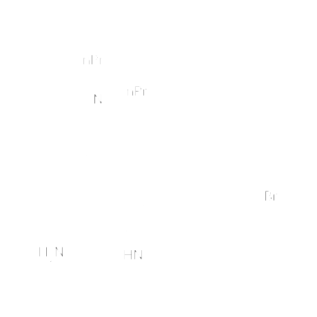 CCCN(CCC)CC1Cc2c([nH]c3ccc(Br)cc23)C(N)C1